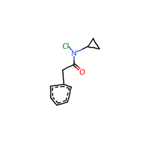 O=C(Cc1ccccc1)N(Cl)C1CC1